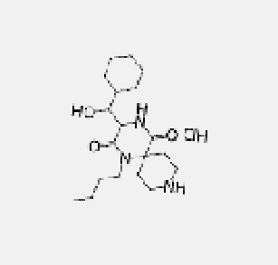 CCCCN1C(=O)C(C(O)C2CCCCC2)NC(=O)C12CCNCC2.Cl